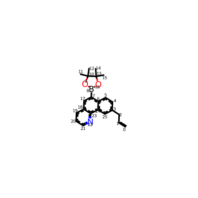 C=CCc1ccc2c(B3OC(C)(C)C(C)(C)O3)cc3cccnc3c2c1